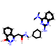 CN(C)c1nc(N[C@H]2CC[C@@H](CNC(=O)Cc3n[nH]c(=O)c4ccccc34)CC2)nc2ccccc12